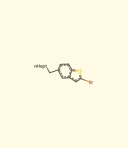 CCCCCCCCc1ccc2sc(Br)cc2c1